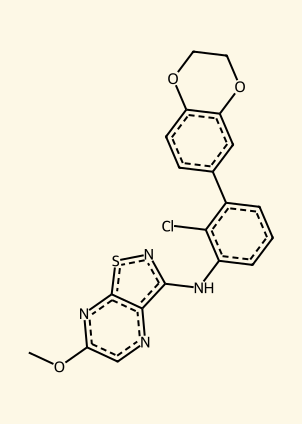 COc1cnc2c(Nc3cccc(-c4ccc5c(c4)OCCO5)c3Cl)nsc2n1